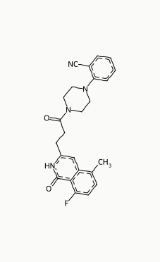 Cc1ccc(F)c2c(=O)[nH]c(CCC(=O)N3CCN(c4ccccc4C#N)CC3)cc12